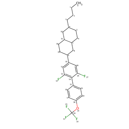 CCCCC1CCC2CC(c3cc(F)c(-c4ccc(OC(F)(F)F)cc4)c(F)c3)CCC2C1